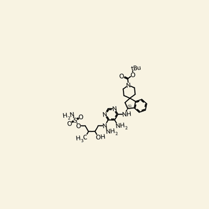 CC(COS(N)(=O)=O)C(O)CN(N)c1ncnc(N[C@H]2CC3(CCN(C(=O)OC(C)(C)C)CC3)c3ccccc32)c1N